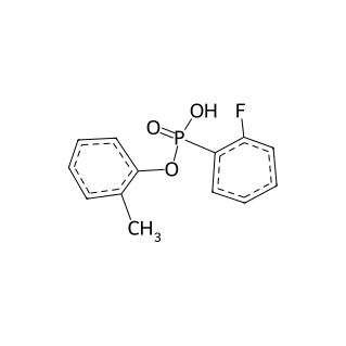 Cc1ccccc1OP(=O)(O)c1ccccc1F